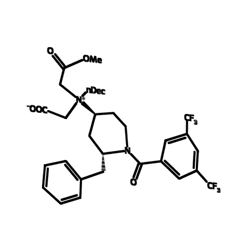 CCCCCCCCCC[N+](CC(=O)[O-])(CC(=O)OC)[C@H]1CCN(C(=O)c2cc(C(F)(F)F)cc(C(F)(F)F)c2)[C@H](Cc2ccccc2)C1